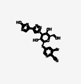 N#Cc1ncc(S[C@H]2O[C@H](CO)[C@H](O)[C@H](n3cc(-c4csc(O)n4)nn3)[C@H]2O)cc1Br